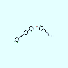 C/C=C/CCc1cc(F)c(C(F)(F)Oc2ccc(-c3ccc(C#Cc4ccc(F)c(F)c4)cc3)c(F)c2)c(F)c1